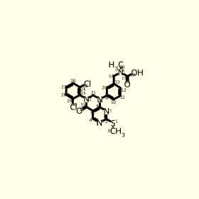 CSc1ncc2c(n1)N(c1cccc(CN(C)C(=O)O)c1)CN(c1c(Cl)cccc1Cl)C2=O